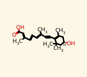 CC(C#CC1=C(C)C[C@@H](O)CC1(C)C)=CC=CC(C)=CC(=O)O